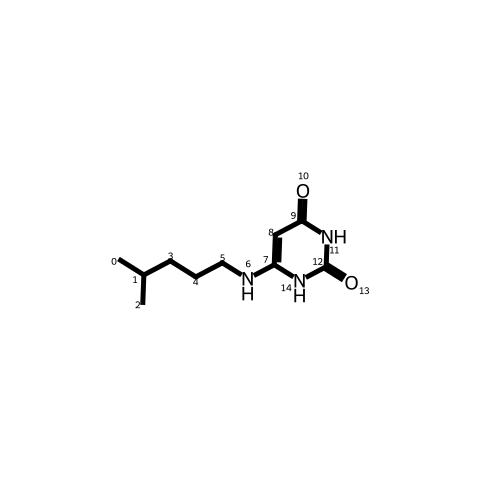 CC(C)CCCNc1cc(=O)[nH]c(=O)[nH]1